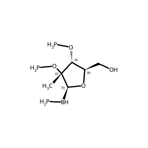 C[C@]1(OP)[C@H](BP)O[C@H](CO)[C@H]1OP